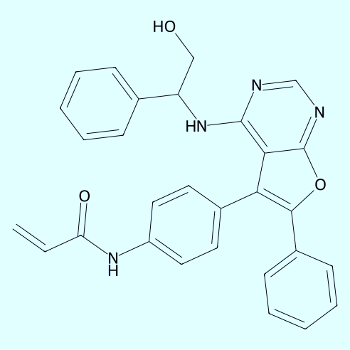 C=CC(=O)Nc1ccc(-c2c(-c3ccccc3)oc3ncnc(NC(CO)c4ccccc4)c23)cc1